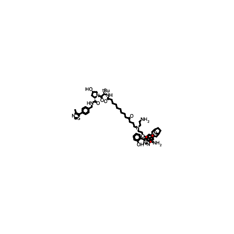 Cc1ncsc1-c1ccc(CNC(=O)[C@@H]2C[C@@H](O)CN2C(=O)[C@@H](NC(=O)CCCCCCCCC(=O)CCCN(CCN)CCOc2cccc(N3C4CCC3CN(c3cc(-c5ccccc5O)nnc3N)C4)c2)C(C)(C)C)cc1